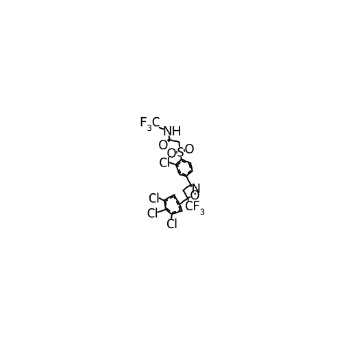 O=C(CS(=O)(=O)c1ccc(C2=NOC(c3cc(Cl)c(Cl)c(Cl)c3)(C(F)(F)F)C2)cc1Cl)NCC(F)(F)F